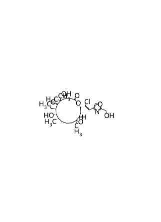 CC[C@H]1C(=O)C(C)(C)[C@@H](O)CC(=O)O[C@H](C(Cl)=Cc2coc(CO)n2)C[C@@H]2O[C@]2(C)CCC[C@H](C)[C@@H]1O